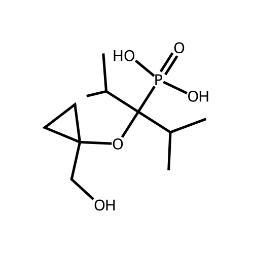 CC(C)C(OC1(CO)CC1)(C(C)C)P(=O)(O)O